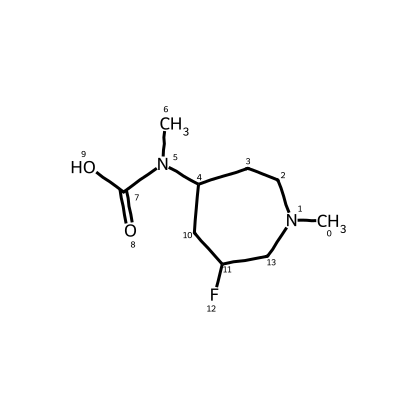 CN1CCC(N(C)C(=O)O)CC(F)C1